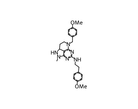 COc1ccc(CCNc2nc3c4c(n2)N(C)NC4CCN3Cc2ccc(OC)cc2)cc1